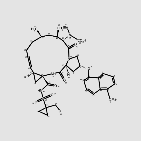 COc1cccc2c(O[C@@H]3C[C@H]4C(=O)N[C@]5(C(=O)NS(=O)(=O)C6(CF)CC6)C[C@H]5/C=C\CC[C@@H](C)C[C@@H](C)[C@H](N(C(=O)O)C(C)(C)C)C(=O)N4C3)nccc12